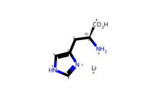 N[C@@H](Cc1c[nH]cn1)C(=O)O.[Li]